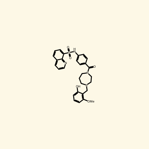 COc1cccc(O)c1CN1CCCN(C(=O)c2ccc(NS(=O)(=O)c3cccc4cccnc34)cc2)CC1